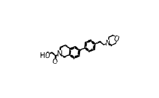 O=C(CO)N1CCc2cc(-c3ccc(CCN4CCOCC4)cc3)ccc2C1